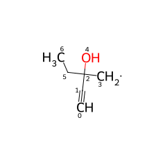 C#CC([CH2])(O)CC